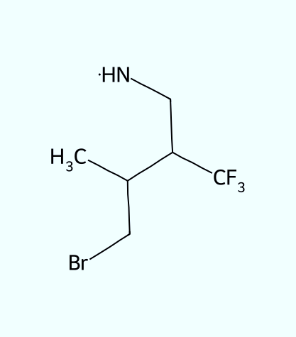 CC(CBr)C(C[NH])C(F)(F)F